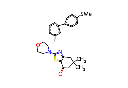 CSc1ccc(-c2cccc(C[C@H]3COCCN3c3nc4c(s3)C(=O)CC(C)(C)C4)c2)cc1